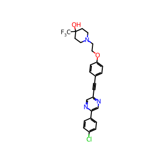 OC1(C(F)(F)F)CCN(CCOc2ccc(C#Cc3cnc(-c4ccc(Cl)cc4)cn3)cc2)CC1